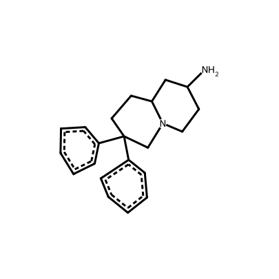 NC1CCN2CC(c3ccccc3)(c3ccccc3)CCC2C1